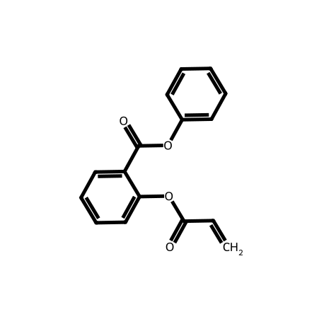 C=CC(=O)Oc1ccccc1C(=O)Oc1ccccc1